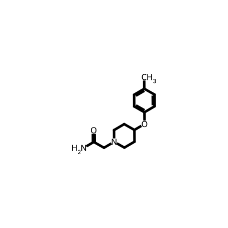 Cc1ccc(OC2CCN(CC(N)=O)CC2)cc1